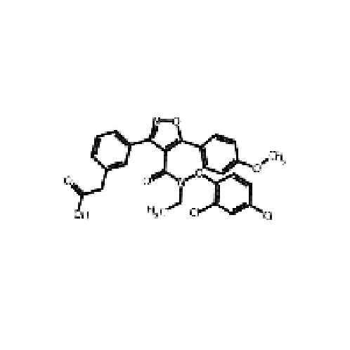 CCN(Oc1ccc(Cl)cc1Cl)C(=O)c1c(-c2cccc(CC(=O)O)c2)noc1-c1ccc(OC)cc1